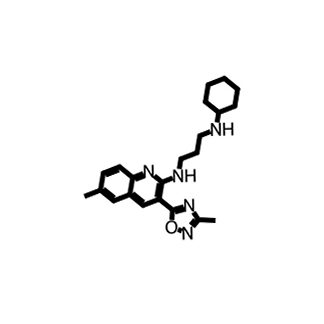 Cc1ccc2nc(NCCCNC3CCCCC3)c(-c3nc(C)no3)cc2c1